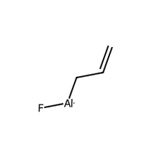 C=C[CH2][Al][F]